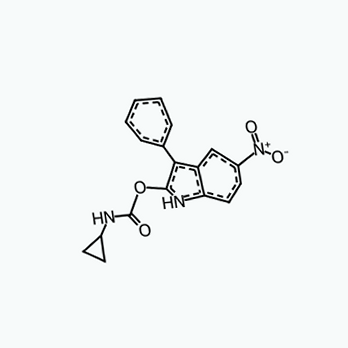 O=C(NC1CC1)Oc1[nH]c2ccc([N+](=O)[O-])cc2c1-c1ccccc1